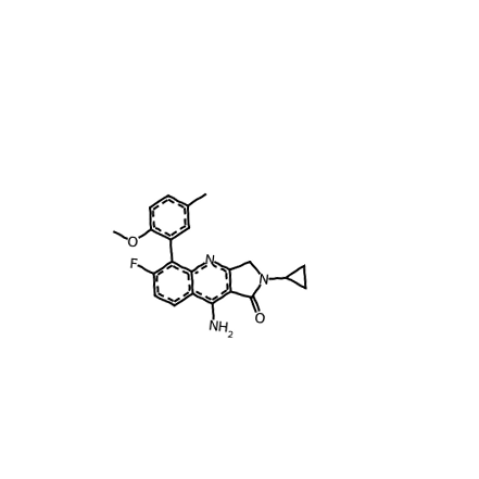 COc1ccc(C)cc1-c1c(F)ccc2c(N)c3c(nc12)CN(C1CC1)C3=O